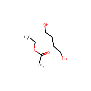 CCOC(C)=O.OCCCCO